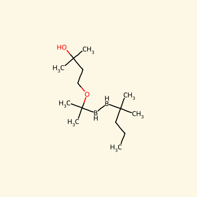 CCCC(C)(C)BBC(C)(C)OCCC(C)(C)O